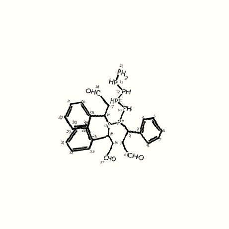 O=CCC(c1ccccc1)P(PPPPP)P(C(CC=O)c1ccccc1)C(CC=O)c1ccccc1